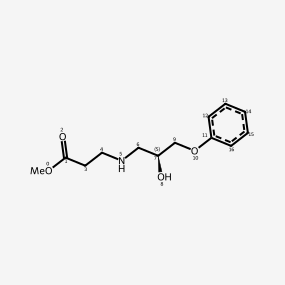 COC(=O)CCNC[C@H](O)COc1ccccc1